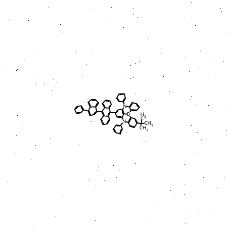 CC(C)(C)c1ccc2c(c1)B1c3ccccc3N(c3ccccc3)c3cc(-c4c5ccccc5c(-c5ccc(-c6ccccc6)c6ccccc56)c5ccccc45)cc(c31)N2c1ccccc1